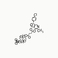 Cc1ncc2c(c1OC(=O)CCC(=O)O[C@H]1CO[C@H]3[C@@H]1OC[C@H]3O[N+](=O)[O-])CO[C@H]2c1ccc(Cl)cc1